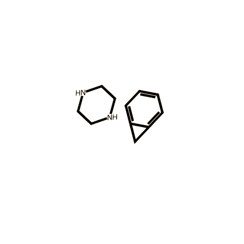 C1CNCCN1.c1ccc2c(c1)C2